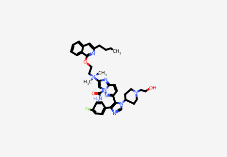 CCCCc1cc2ccccc2c(OCC[N+](C)(C)C2=C[N+]3(C(N)=O)N=C(c4c(-c5ccc(F)cc5)ncn4C4CCN(CCO)CC4)C=CC3=N2)n1